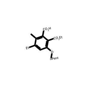 CCCCCOc1cc(CC)c(C)c(C(=O)O)c1C(=O)OCC